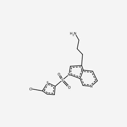 NCCCc1cn(S(=O)(=O)c2ccc(Cl)s2)c2cnccc12